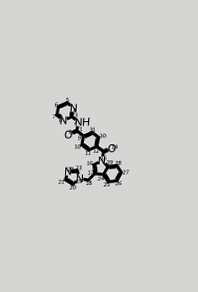 O=C(Nc1ncccn1)c1ccc(C(=O)n2cc(Cn3ccnc3)c3ccccc32)cc1